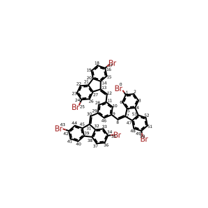 Brc1ccc2c(c1)C(=Cc1cc(C=C3c4cc(Br)ccc4-c4ccc(Br)cc43)cc(C=C3c4cc(Br)ccc4-c4ccc(Br)cc43)c1)c1cc(Br)ccc1-2